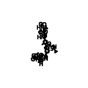 COC(=O)N[C@H](C(=O)N1CCC[C@H]1c1ncc(-c2cc(C)c3c(c2)OC(c2cnc(C4CC4)s2)n2c-3cc3cc(-c4cnc([C@@H]5C[C@H]6C[C@H]6N5C(=O)[C@@H](NC(=O)OC)C(C)C)[nH]4)ccc32)[nH]1)C(C)C